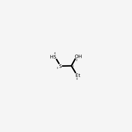 CCC(O)SS